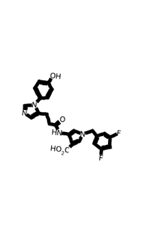 O=C(CCc1cncn1-c1ccc(O)cc1)Nc1cn(Cc2cc(F)cc(F)c2)cc1C(=O)O